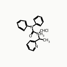 CC(c1ccccn1)N(C)C(=O)N(c1ccccc1)c1ccccc1.Cl